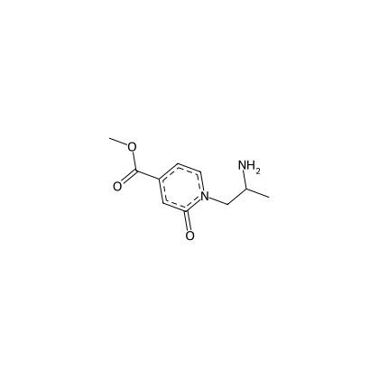 COC(=O)c1ccn(CC(C)N)c(=O)c1